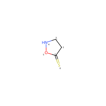 S=C1C[C]NO1